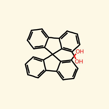 Oc1cccc2c1C1(c3ccccc3-2)c2ccccc2-c2cccc(O)c21